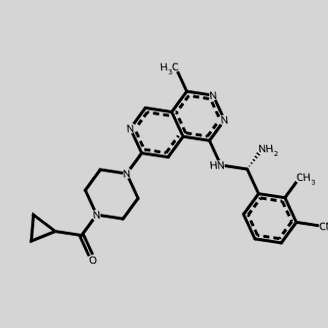 Cc1c(C#N)cccc1[C@@H](N)Nc1nnc(C)c2cnc(N3CCN(C(=O)C4CC4)CC3)cc12